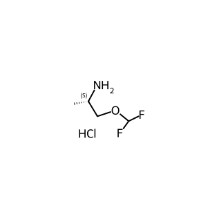 C[C@H](N)COC(F)F.Cl